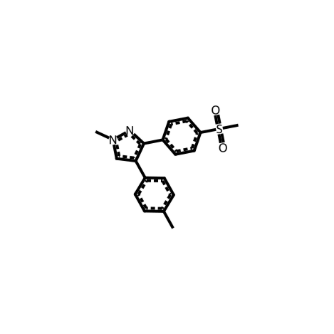 Cc1ccc(-c2cn(C)nc2-c2ccc(S(C)(=O)=O)cc2)cc1